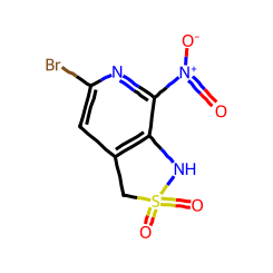 O=[N+]([O-])c1nc(Br)cc2c1NS(=O)(=O)C2